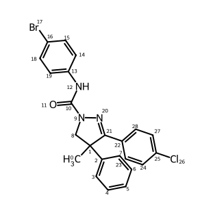 CC1(c2ccccc2)CN(C(=O)Nc2ccc(Br)cc2)N=C1c1ccc(Cl)cc1